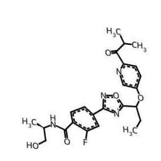 CCC(Oc1ccc(C(=O)C(C)C)nc1)c1nc(-c2ccc(C(=O)N[C@H](C)CO)c(F)c2)no1